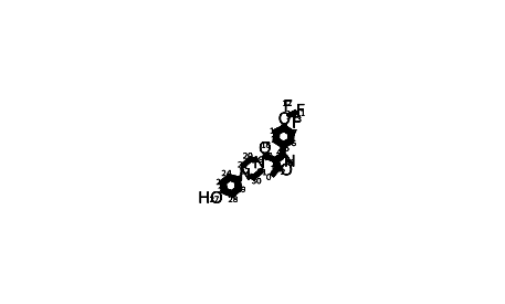 Cc1onc(-c2ccc(OC(F)(F)F)cc2)c1C(=O)N1CCN(c2ccc(O)cc2)CC1